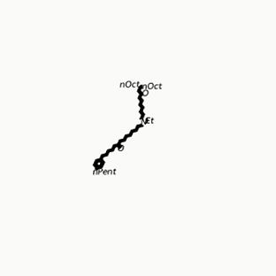 CCCCCCCCC(CCCCCCCC)CC(=O)CCCCCCCN(CC)CCCCCCCCC(=O)CCCCCc1ccc(CCCCC)cc1